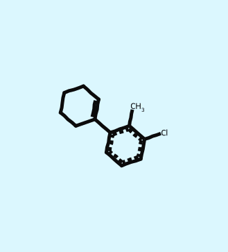 Cc1c(Cl)cccc1C1=CCCCC1